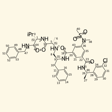 CC(C)[C@H](NC(=O)[C@H](C)NC[C@H](Cc1ccccc1)NC(=O)c1cc(C(=O)N[C@H](C)c2cccc(Cl)c2)cc(N(C)S(C)(=O)=O)c1)C(=O)NCc1ccccc1